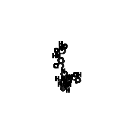 Nc1nnc(-c2ccccc2O)cc1N1C[C@H]2CC[C@@H](C1)N2c1nccc(C2CCN(CCc3ccc(N[C@H]4CCC(=O)NC4=O)cc3Cl)CC2)n1